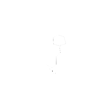 CCCC[C@@H](O)CCCN1CCSCC1